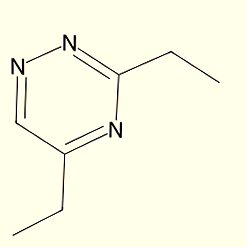 CCc1cnnc(CC)n1